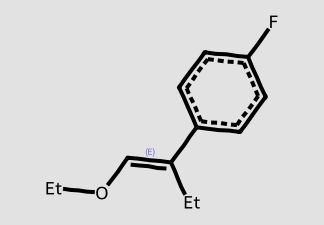 CCO/C=C(\CC)c1ccc(F)cc1